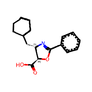 O=C(O)[C@@H]1OC(c2ccccc2)=N[C@H]1CC1CCCCC1